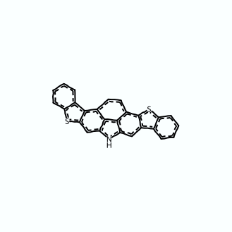 c1ccc2c(c1)sc1c2cc2[nH]c3cc4sc5ccccc5c4c4ccc1c2c34